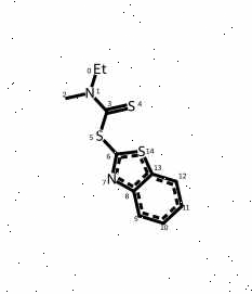 CCN(C)C(=S)Sc1nc2ccccc2s1